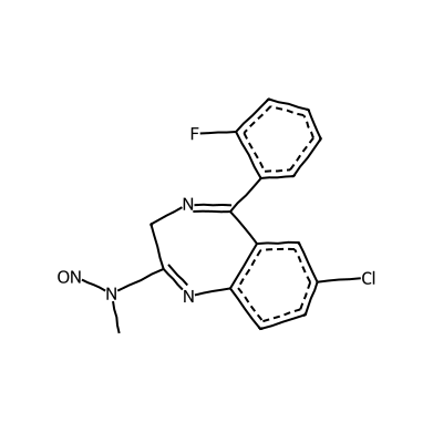 CN(N=O)C1=Nc2ccc(Cl)cc2C(c2ccccc2F)=NC1